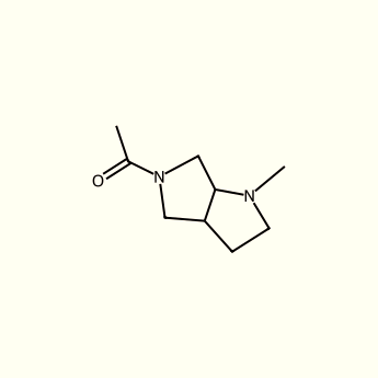 CC(=O)N1CC2CCN(C)C2C1